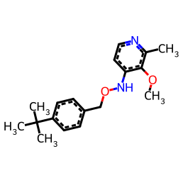 COc1c(NOCc2ccc(C(C)(C)C)cc2)ccnc1C